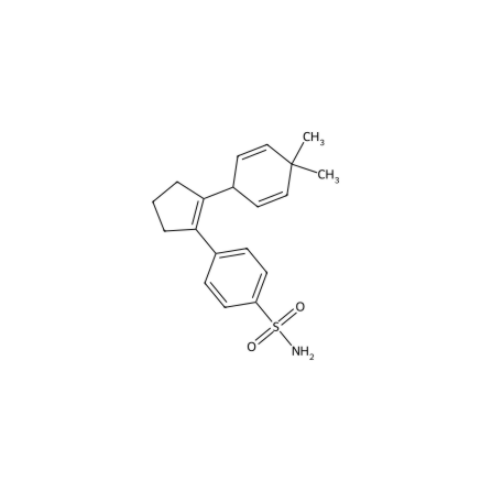 CC1(C)C=CC(C2=C(c3ccc(S(N)(=O)=O)cc3)CCC2)C=C1